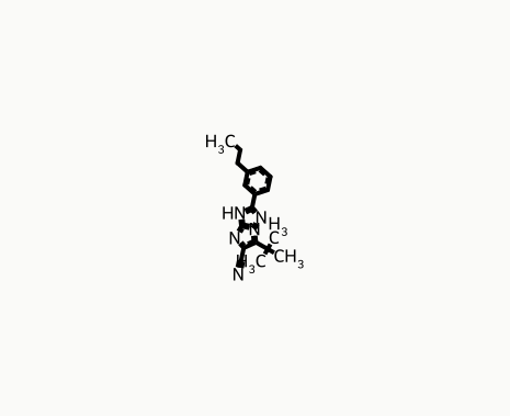 CCCc1cccc(-c2nn3c(C(C)(C)C)c(C#N)nc3[nH]2)c1